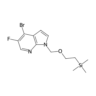 C[Si](C)(C)CCOCn1ccc2c(Br)c(F)cnc21